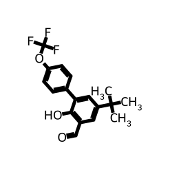 CC(C)(C)c1cc(C=O)c(O)c(-c2ccc(OC(F)(F)F)cc2)c1